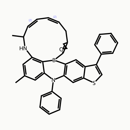 Cc1cc2c3c(c1)N(c1ccccc1)c1cc4scc(-c5ccccc5)c4cc1B3C1=C(C/C=C\C=C/C(C)N2)CCO1